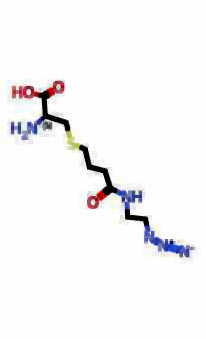 [N-]=[N+]=NCCNC(=O)CCCSC[C@@H](N)C(=O)O